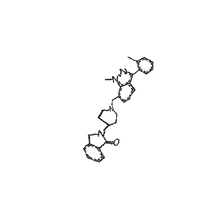 Cc1ccccc1-c1nn(C)c2c(CN3CCC(N4Cc5ccccc5C4=O)CC3)cccc12